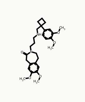 COc1ccc(C2(CNCCCN3CCc4cc(OC)c(OC)cc4CC3=O)CCC2)cc1OC